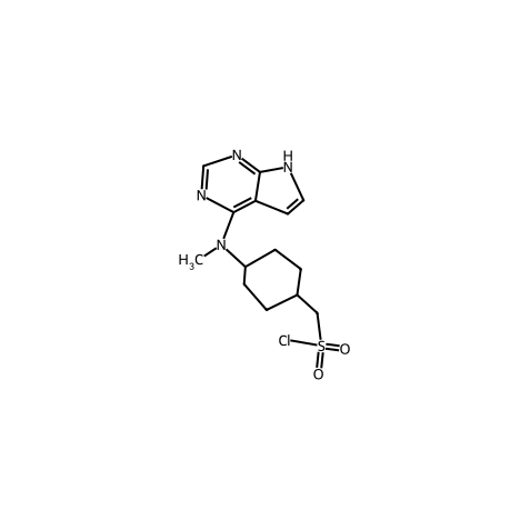 CN(c1ncnc2[nH]ccc12)C1CCC(CS(=O)(=O)Cl)CC1